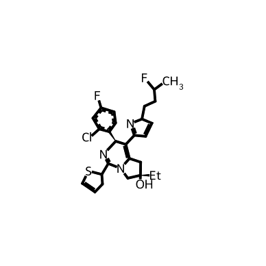 CC[C@]1(O)CC2=C(C3=NC(CCC(C)F)C=C3)[C@H](c3ccc(F)cc3Cl)N=C(C3CC=CS3)N2C1